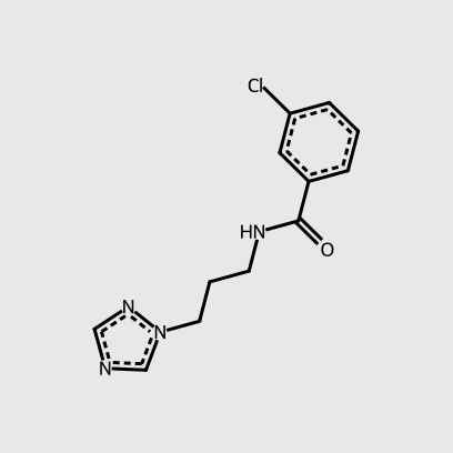 O=C(NCCCn1cncn1)c1cccc(Cl)c1